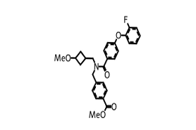 COC(=O)c1ccc(CN(CC2CC(OC)C2)C(=O)c2ccc(Oc3ccccc3F)cc2)cc1